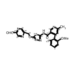 COc1cccc(F)c1-c1cc(C)ncc1C(=O)Nc1nnc(OCc2cnc(C=O)cn2)s1